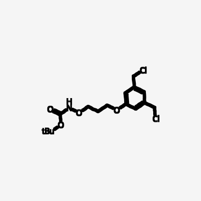 CC(C)(C)OC(=O)NOCCCOc1cc(CCl)cc(CCl)c1